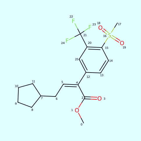 COC(=O)C(=CCC1CCCC1)c1ccc(S(C)(=O)=O)c(C(F)(F)F)c1